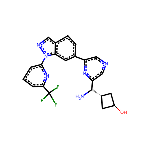 NC(c1cncc(-c2ccc3cnn(-c4cccc(C(F)(F)F)n4)c3c2)n1)[C@H]1C[C@@H](O)C1